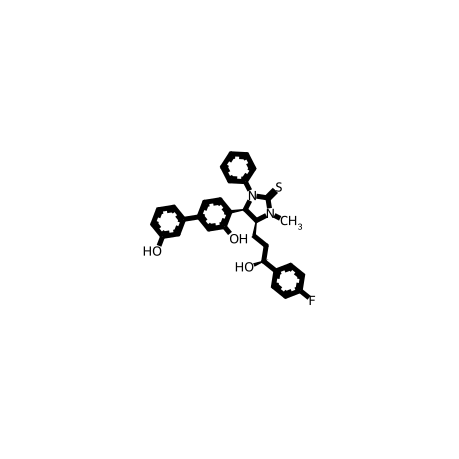 CN1C(=S)N(c2ccccc2)[C@H](c2ccc(-c3cccc(O)c3)cc2O)[C@@H]1CC[C@H](O)c1ccc(F)cc1